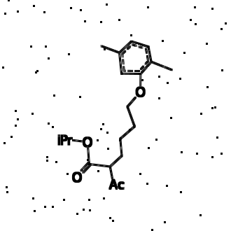 CC(=O)C(CCCCOc1cc(C)ccc1C)C(=O)OC(C)C